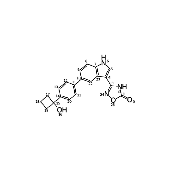 O=c1[nH]c(-c2c[nH]c3ccc(-c4ccc(C5(O)CCC5)cc4)cc23)no1